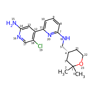 CC1(C)C[C@H](CNc2cccc(-c3cc(N)ncc3Cl)n2)CCO1